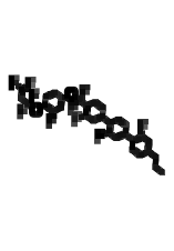 CCCc1ccc(-c2ccc(-c3ccc(C(F)(F)Oc4ccc(OC(F)(F)C=C(F)F)c(F)c4)c(F)c3)c(F)c2)c(F)c1